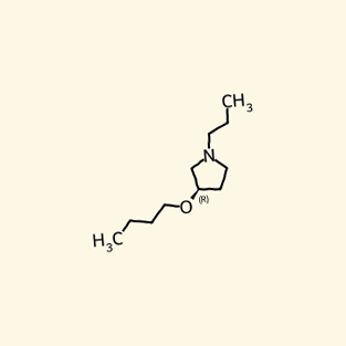 CCCCO[C@@H]1CCN(CCC)C1